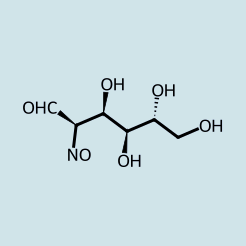 O=C[C@H](N=O)[C@@H](O)[C@H](O)[C@H](O)CO